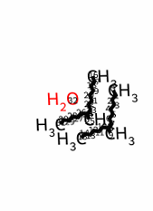 CCCCCCCCC(C)CCCCCC.CCCCCCCCC(C)CCCCCC.O